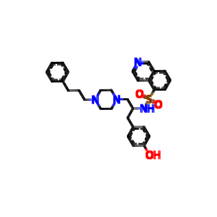 O=S(=O)(NC(Cc1ccc(O)cc1)CN1CCN(CCCc2ccccc2)CC1)c1cccc2cnccc12